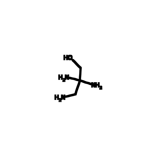 NCC(N)(N)CO